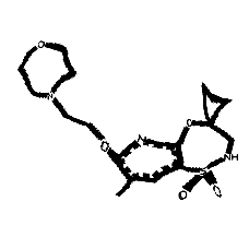 Cc1cc2c(nc1OCCN1CCOCC1)OC1(CC1)CNS2(=O)=O